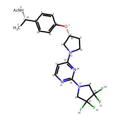 CC(=O)N[C@@H](C)c1ccc(O[C@@H]2CCN(c3ccnc(N4CC(F)(F)C(F)(F)C4)n3)C2)cc1